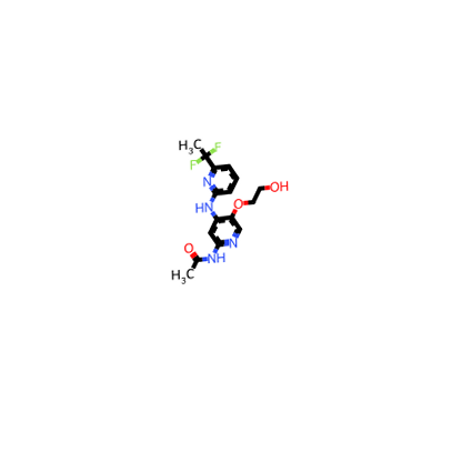 CC(=O)Nc1cc(Nc2cccc(C(C)(F)F)n2)c(OCCO)cn1